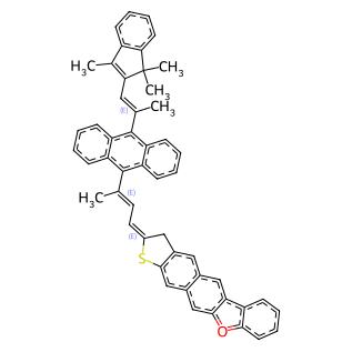 CC1=C(/C=C(\C)c2c3ccccc3c(/C(C)=C/C=C3\Cc4cc5cc6c(cc5cc4S3)oc3ccccc36)c3ccccc23)C(C)(C)c2ccccc21